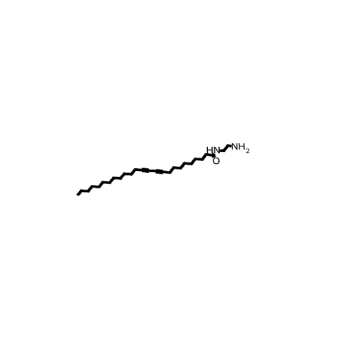 CCCCCCCCCCCCC#CC#CCCCCCCCCC(=O)NCCN